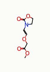 COC(=O)COC=CN1CCOC1=O